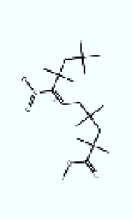 COC(=O)C(C)(C)CC(C)(C)C/C=C(/[N+](=O)[O-])C(C)(C)CC(C)(C)C